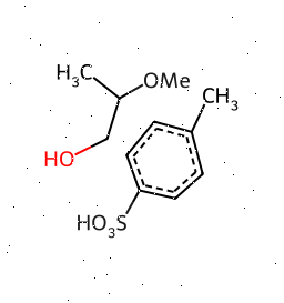 COC(C)CO.Cc1ccc(S(=O)(=O)O)cc1